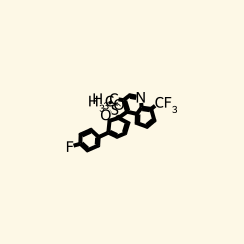 Cc1cnc2c(C(F)(F)F)cccc2c1C1(S(C)(=O)=O)C=CC=C(c2ccc(F)cc2)C1